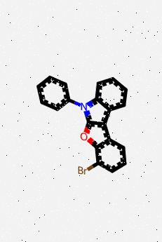 Brc1cccc2c1oc1c2c2ccccc2n1-c1ccccc1